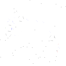 COc1cc(N2CCC(N3CCN(CC4CCN(c5cc(F)c(C6CCC(=O)NC6=O)c(F)c5)CC4)CC3)CC2)c(C)cc1Nc1ncc(Br)c(Nc2cccc3c2N(S(C)(=O)=O)CC3)n1